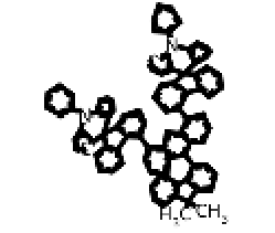 CC1(C)c2ccccc2-c2c(-c3c4cccc(-c5cccc6c5-c5ccccc5C65c6ccccc6N(c6ccccc6)c6ccccc65)c4cc4c(-c5cccc6c5-c5ccccc5C65c6ccccc6N(c6ccccc6)c6ccccc65)cccc34)cccc21